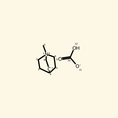 C[N+]12CCC(CC1)CC2.O=C([O-])O